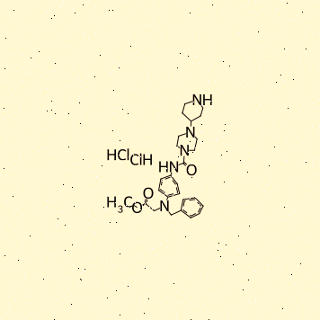 COC(=O)CN(Cc1ccccc1)c1ccc(NC(=O)N2CCN(C3CCNCC3)CC2)cc1.Cl.Cl